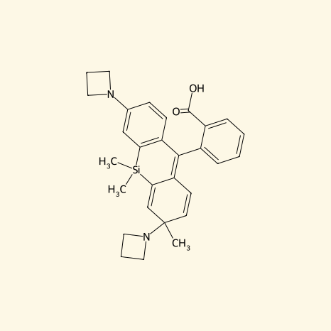 CC1(N2CCC2)C=CC2=C(c3ccccc3C(=O)O)c3ccc(N4CCC4)cc3[Si](C)(C)C2=C1